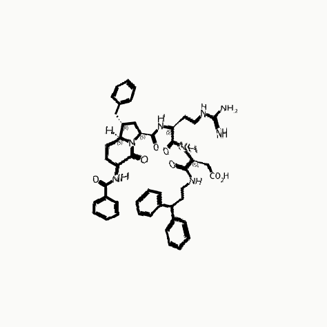 N=C(N)NCC[C@H](NC(=O)[C@@H]1C[C@@H](Cc2ccccc2)[C@@H]2CCC(NC(=O)c3ccccc3)C(=O)N12)C(=O)N[C@@H](CC(=O)O)C(=O)NCCC(c1ccccc1)c1ccccc1